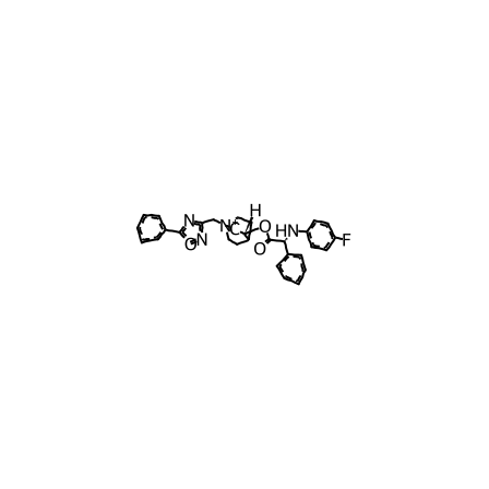 O=C(O[C@H]1C[N+]2(Cc3noc(-c4ccccc4)n3)CCC1CC2)[C@H](Nc1ccc(F)cc1)c1ccccc1